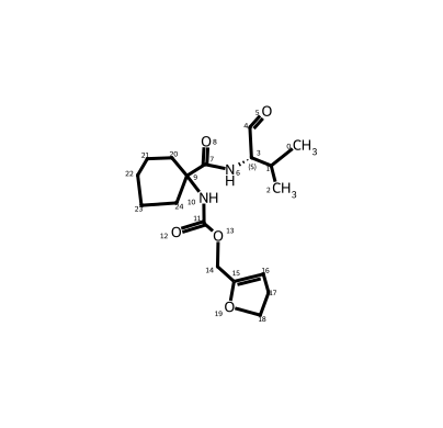 CC(C)[C@@H](C=O)NC(=O)C1(NC(=O)OCC2=CCCO2)CCCCC1